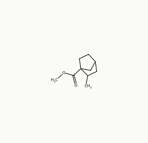 COC(=O)C12CCC(CC1C)C2